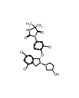 CC1(C)NC(=O)N(c2ccc(O[C@H]3c4cc(Cl)cc(Cl)c4C[C@@H]3N3CC[C@@H](O)C3)c(Cl)c2)C1=O